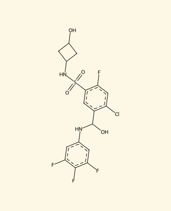 O=S(=O)(NC1CC(O)C1)c1cc(C(O)Nc2cc(F)c(F)c(F)c2)c(Cl)cc1F